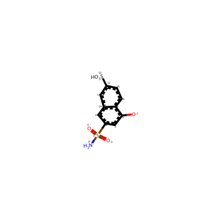 NS(=O)(=O)c1cc([O])c2ccc(S(=O)(=O)O)cc2c1